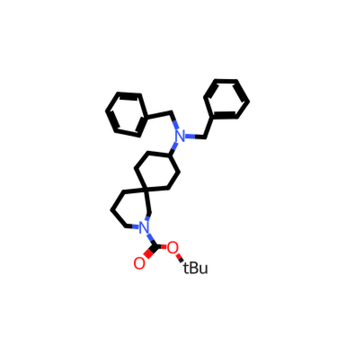 CC(C)(C)OC(=O)N1CCCC2(CCC(N(Cc3ccccc3)Cc3ccccc3)CC2)C1